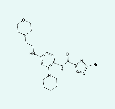 O=C(Nc1ccc(NCCN2CCOCC2)cc1N1CCCCC1)c1csc(Br)n1